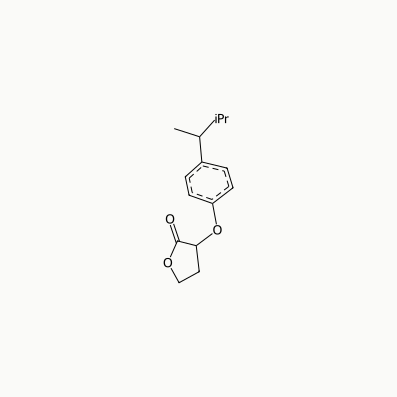 CC(C)C(C)c1ccc(OC2CCOC2=O)cc1